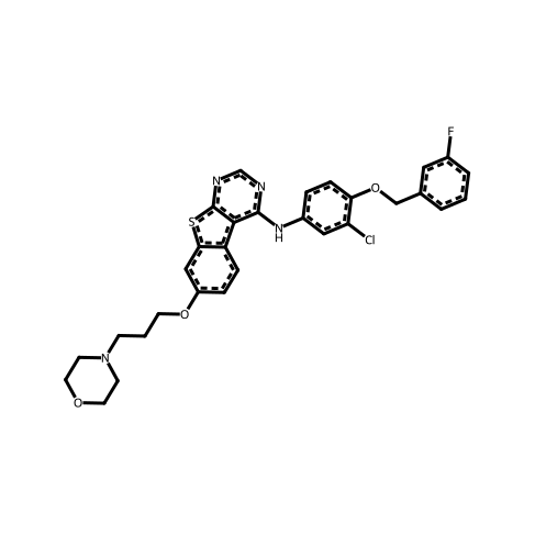 Fc1cccc(COc2ccc(Nc3ncnc4sc5cc(OCCCN6CCOCC6)ccc5c34)cc2Cl)c1